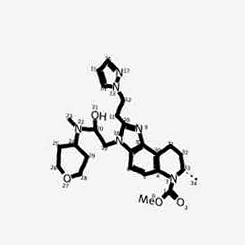 COC(=O)N1c2ccc3c(nc(CCn4cccn4)n3CC(O)N(C)C3CCOCC3)c2CC[C@@H]1C